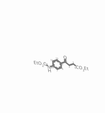 CCOC(=O)CCC(=O)c1ccc(NC(=O)OCC)cc1